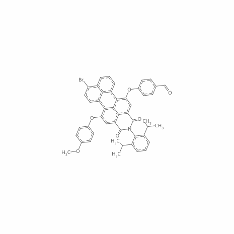 COc1ccc(Oc2cc3c4c(cc(Oc5ccc(C=O)cc5)c5c6cccc7c(Br)ccc(c2c45)c76)C(=O)N(c2c(C(C)C)cccc2C(C)C)C3=O)cc1